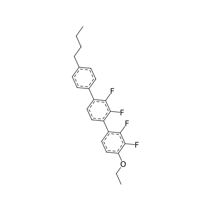 CCCCc1ccc(-c2ccc(-c3ccc(OCC)c(F)c3F)c(F)c2F)cc1